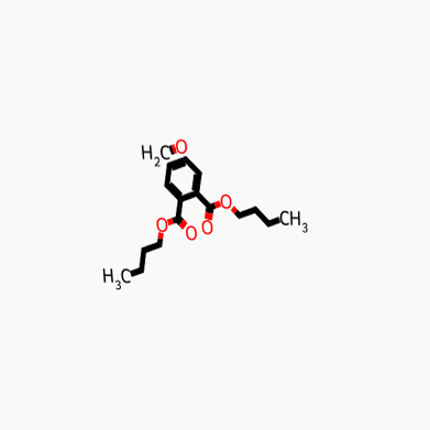 C=O.CCCCOC(=O)c1ccccc1C(=O)OCCCC